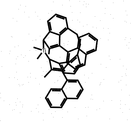 CC1=C(c2cccc3ccccc23)c2c3cccc2[CH]1[Ti]([CH3])([CH3])[CH]1C(C)=C(c2cccc4ccccc24)c2c(cccc21)CC3